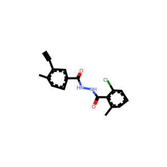 C#Cc1cc(C(=O)NNC(=O)c2c(C)cccc2Cl)ccc1C